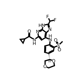 CS(=O)(=O)c1cc([C@H]2COCCO2)ccc1Nc1cc(NC(=O)C2CC2)nc2[nH]c(C(F)F)nc12